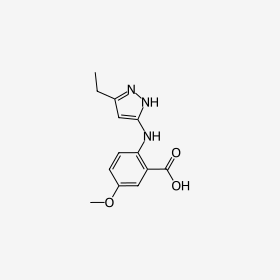 CCc1cc(Nc2ccc(OC)cc2C(=O)O)[nH]n1